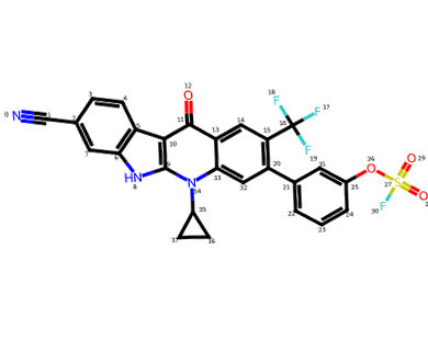 N#Cc1ccc2c(c1)[nH]c1c2c(=O)c2cc(C(F)(F)F)c(-c3cccc(OS(=O)(=O)F)c3)cc2n1C1CC1